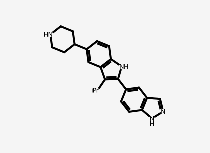 CC(C)c1c(-c2ccc3[nH]ncc3c2)[nH]c2ccc(C3CCNCC3)cc12